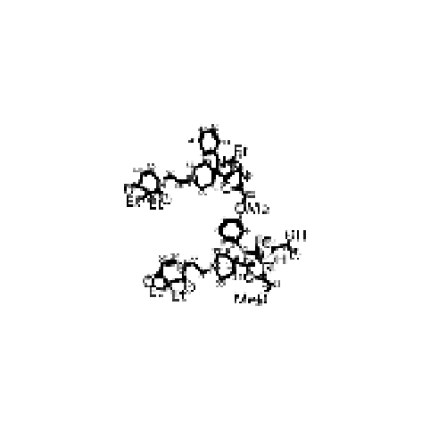 CCC(=O)N(c1ccccc1)C1(c2nnc(COC)o2)CCN(CCN2C=CC(=O)C(CC)(CC)C2=O)CC1.CCC(=O)N(c1ccccc1)C1(c2nnc(COC)o2)CCN(CCN2C=CC(=O)C(CC)(CC)C2=O)CC1.O=C(O)C(=O)O